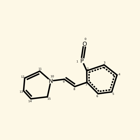 O=Pc1ccccc1C=CN1C=CC=CC1